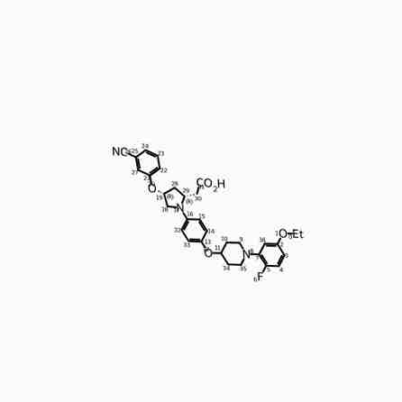 CCOc1ccc(F)c(N2CCC(Oc3ccc(N4C[C@H](Oc5cccc(C#N)c5)C[C@@H]4CC(=O)O)cc3)CC2)c1